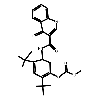 COC(=O)OC1=C(C(C)(C)C)C=C(C(C)(C)C)C(NC(=O)c2c[nH]c3ccccc3c2=O)C1